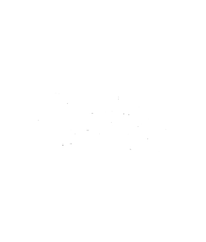 CC(C)(C)c1cc(OS(=O)(=O)C(F)(F)C(F)(F)C(F)(F)S(=O)(=O)O)cc(C(C)(C)C)c1C=O